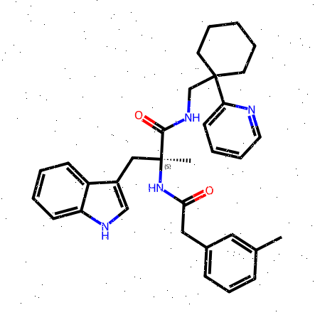 Cc1cccc(CC(=O)N[C@@](C)(Cc2c[nH]c3ccccc23)C(=O)NCC2(c3ccccn3)CCCCC2)c1